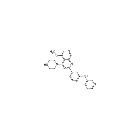 COc1cncc2nc(-c3ccnc(Nc4cncnc4)c3)nc(N3CCNCC3)c12